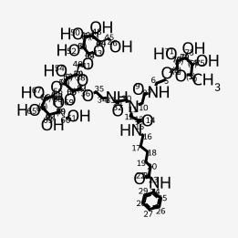 C[C@@H]1O[C@@H](OCCNC(=O)CN(CC(=O)NCCCCCC(=O)Nc2ccccc2)CC(=O)NCCO[C@H]2O[C@H](CO[C@H]3O[C@H](CO)[C@@H](O)[C@H](O)[C@@H]3O)[C@@H](O)[C@H](O[C@H]3O[C@H](CO)[C@@H](O)[C@H](O)[C@@H]3O)[C@@H]2O)[C@@H](O)[C@H](O)[C@@H]1O